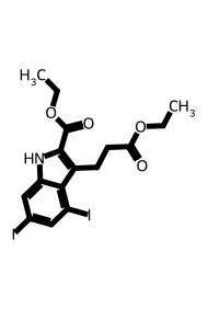 CCOC(=O)CCc1c(C(=O)OCC)[nH]c2cc(I)cc(I)c12